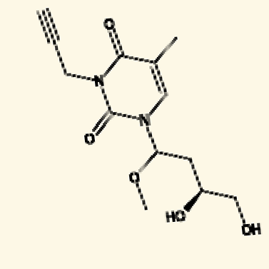 C#CCn1c(=O)c(C)cn(C(C[C@H](O)CO)OC)c1=O